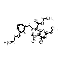 C=CCOc1cccc(CCN(C(=O)OCC)c2nc(SC)nc(Cl)c2[N+](=O)[O-])c1